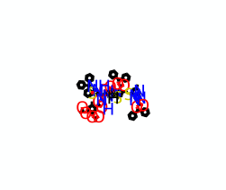 CC(=O)Oc1cc(C)c(C(=O)ON=C(C(=O)N[C@@H]2C(=O)N3C(C(=O)OC(c4ccccc4)c4ccccc4)=C(CSc4cc(C)nc5nc(C(=O)OC(c6ccccc6)c6ccccc6)nn45)CS[C@H]23)c2csc(NC(c3ccccc3)(c3ccccc3)c3ccccc3)n2)cc1OC(C)=O